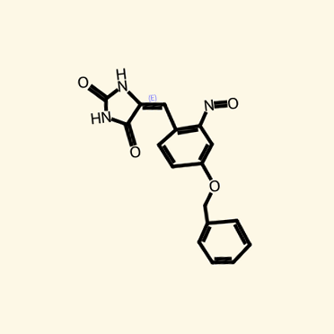 O=Nc1cc(OCc2ccccc2)ccc1/C=C1/NC(=O)NC1=O